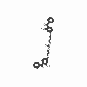 O=C(OCCCOc1ccc(C(=O)c2ccccc2)c(O)c1)OCCCOc1ccc(C(=O)c2ccccc2)c(O)c1